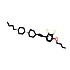 CCCCOc1ccc(C#CC2CCC([C@H]3CC[C@H](CCCC)CC3)CC2)c(F)c1F